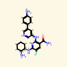 NC(=O)c1cc(F)c(N[C@@H]2CCCC[C@@H]2N)nc1Nc1cncc(-c2ccc(N)cc2)c1